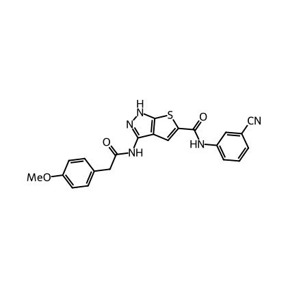 COc1ccc(CC(=O)Nc2n[nH]c3sc(C(=O)Nc4cccc(C#N)c4)cc23)cc1